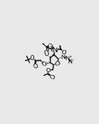 CC(=O)NC1[C@H](N=[N+]=[N-])OC(COC(C)=O)[C@@H](OCC(=O)OC(C)(C)C)[C@H]1OC(C)=O